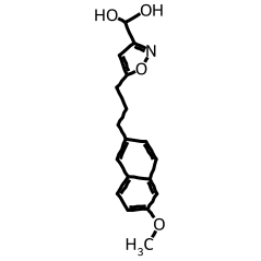 COc1ccc2cc(CCCc3cc(C(O)O)no3)ccc2c1